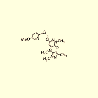 COc1ccc([C@H]2C[C@@H]2COc2cc(N(C)c3cc(C)nn3C)c(=O)n(C)n2)nc1